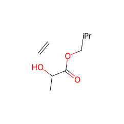 C=C.CC(C)COC(=O)C(C)O